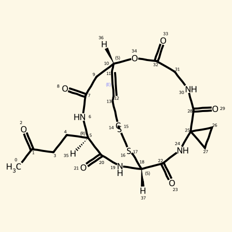 CC(=O)CC[C@H]1NC(=O)C[C@H]2/C=C/CCSSC[C@@H](NC1=O)C(=O)NC1(CC1)C(=O)NCC(=O)O2